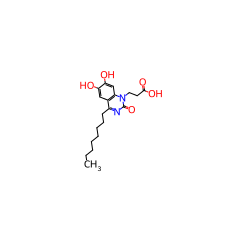 CCCCCCCCc1nc(=O)n(CCC(=O)O)c2cc(O)c(O)cc12